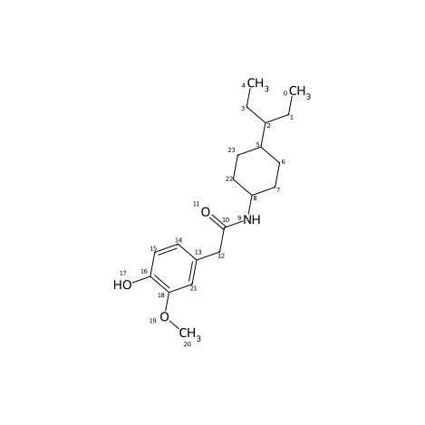 CCC(CC)C1CCC(NC(=O)Cc2ccc(O)c(OC)c2)CC1